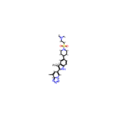 Cc1cc(-c2[nH]c3ccc(C4CCN(S(=O)(=O)CCN(C)C)CC4)cc3c2C(C)C)cn2nnnc12